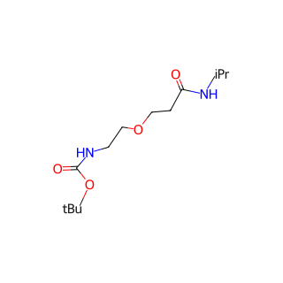 CC(C)NC(=O)CCOCCNC(=O)OC(C)(C)C